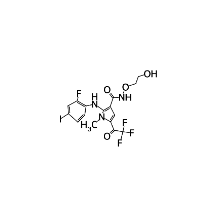 Cn1c(C(=O)C(F)(F)F)cc(C(=O)NOCCO)c1Nc1ccc(I)cc1F